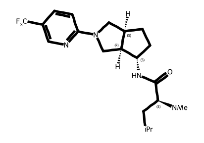 CN[C@@H](CC(C)C)C(=O)N[C@H]1CC[C@@H]2CN(c3ccc(C(F)(F)F)cn3)C[C@@H]21